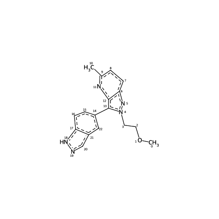 COCCn1nc2ccc(C)nc2c1-c1ccc2[nH]ncc2c1